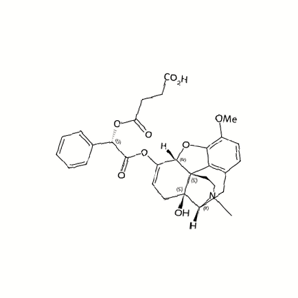 COc1ccc2c3c1O[C@H]1C(OC(=O)[C@@H](OC(=O)CCC(=O)O)c4ccccc4)=CC[C@@]4(O)[C@@H](C2)N(C)CC[C@]314